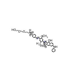 COc1cc(/N=N/c2c(S(=O)(=O)O)cc3cc(Nc4ccccc4)ccc3c2O)c(C)cc1/N=N/c1ccc(S(=O)(=O)NCCCOCCOCCO)cc1